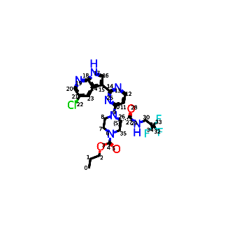 CCCOC(=O)N1CCN(c2ccnc(-c3c[nH]c4ncc(Cl)cc34)n2)[C@H](C(=O)NCC(F)(F)F)C1